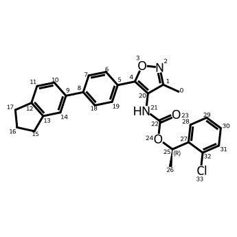 Cc1noc(-c2ccc(-c3ccc4c(c3)CCC4)cc2)c1NC(=O)O[C@H](C)c1ccccc1Cl